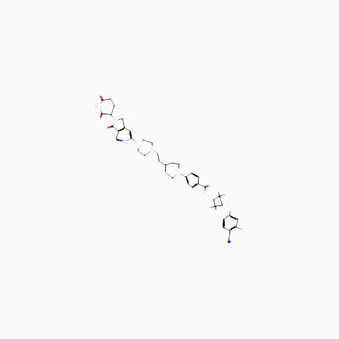 CC1(C)[C@H](NC(=O)c2ccc(N3CCC(CCN4CCN(c5cc6c(cn5)C(=O)N(C5CCC(=O)NC5=O)C6O)CC4)CC3)cc2)C(C)(C)[C@H]1Oc1ccc(C#N)c(Cl)c1